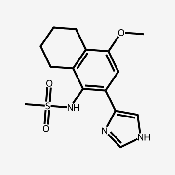 COc1cc(-c2c[nH]cn2)c(NS(C)(=O)=O)c2c1CCCC2